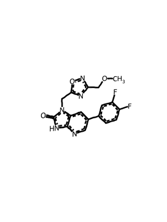 COCc1noc(Cn2c(=O)[nH]c3ncc(-c4ccc(F)c(F)c4)cc32)n1